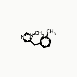 Cc1cccc(Cc2cncn2C)c1